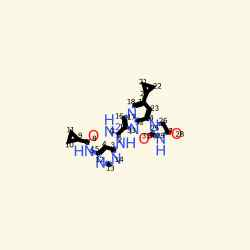 N[C@@H](Nc1cc(NC(=O)C2CC2)ncn1)c1cn2cc(C3CC3)cc(N3CC(=O)NC3=O)c2n1